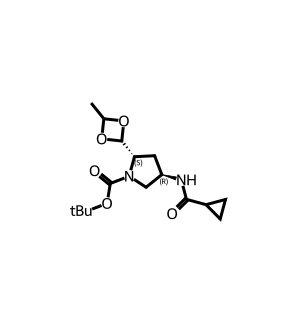 CC1OC([C@@H]2C[C@@H](NC(=O)C3CC3)CN2C(=O)OC(C)(C)C)O1